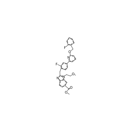 COCCn1c(Cc2ccc(-c3cccc(OCc4ccccc4F)n3)cc2F)nc2ccc(C(=O)OC)cc21